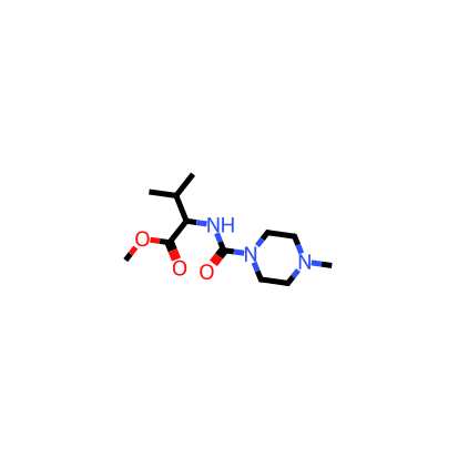 COC(=O)C(NC(=O)N1CCN(C)CC1)C(C)C